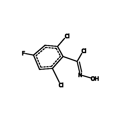 O/N=C(\Cl)c1c(Cl)cc(F)cc1Cl